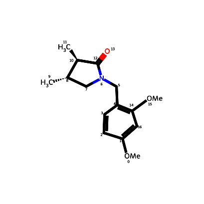 COc1ccc(CN2C[C@H](C)[C@@H](C)C2=O)c(OC)c1